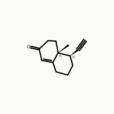 C#C[C@H]1CCCC2=CC(=O)CC[C@@]21C